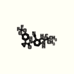 CC(C)(C)C1Cc2c(ccc(NC(=O)C3(c4ccc5c(c4)OC(F)(F)O5)CC3)c2C#N)N1